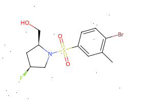 Cc1cc(S(=O)(=O)N2C[C@@H](F)C[C@H]2CO)ccc1Br